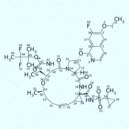 CCOc1cc2ccnc(O[C@@H]3C[C@H]4C(=O)N[C@]5(C(=O)NS(=O)(=O)C6(C)CC6)CC5/C=C\CC[C@@H](C)O[C@@H](CC)[C@H](NC(=O)OC(C)(C)C(C)(F)F)C(=O)N4C3)c2cc1F